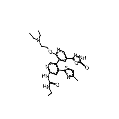 CCNC(=O)Nc1cc(-c2nc(C)cs2)c(-c2cc(-c3n[nH]c(=O)o3)cnc2OCCN(CC)CC)cn1